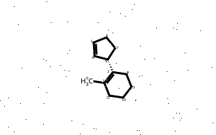 CC1=C([C@@H]2C=CCC2)CCCC1